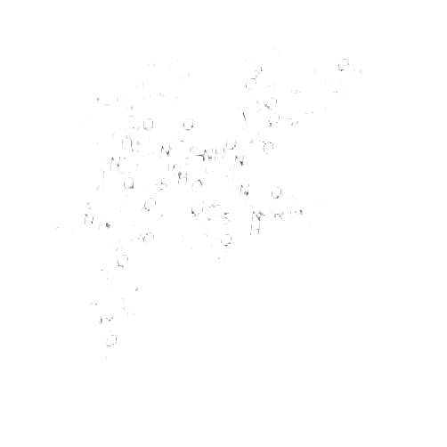 CCn1cc(C[N+]2(CC3=C(C(=O)OC(c4ccccc4)c4ccccc4)N4C(=O)[C@@H](NC(=O)/C(=N\O[C@@H](CC(=O)OC(C)(C)C)C(=O)OCc5ccc(OC)cc5)c5nc(NC(=O)OC(C)(C)C)sc5Cl)[C@H]4SC3)CCCC2)c(=O)c2c(Cl)c(OCc3ccc(OC)cc3)c(OCc3ccc(OC)cc3)cc21